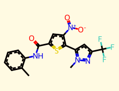 Cc1ccccc1NC(=O)c1cc([N+](=O)[O-])c(-c2cc(C(F)(F)F)nn2C)s1